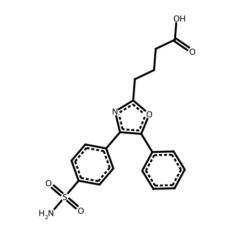 NS(=O)(=O)c1ccc(-c2nc(CCCC(=O)O)oc2-c2ccccc2)cc1